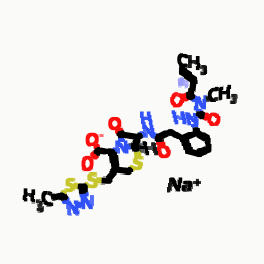 C/C=C/C(=O)N(C)C(=O)Nc1ccccc1CC(=O)NC1C(=O)N2C(C(=O)[O-])=C(CSc3nnc(C)s3)CS[C@H]12.[Na+]